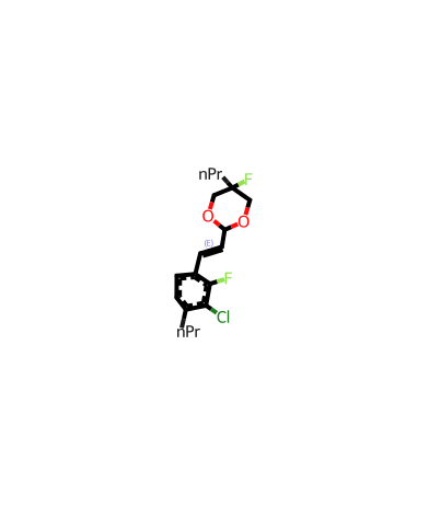 CCCc1ccc(/C=C/C2OCC(F)(CCC)CO2)c(F)c1Cl